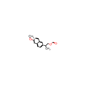 COc1ccc2cc(C(C)COC=O)ccc2c1